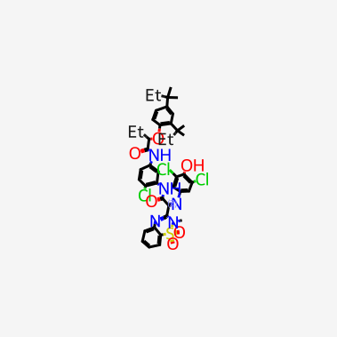 CCC(Oc1ccc(C(C)(C)CC)cc1C(C)(C)CC)C(=O)Nc1ccc(Cl)c(NC(=O)/C(=N\c2cc(Cl)c(O)c(Cl)c2)C2=Nc3ccccc3S(=O)(=O)N2C)c1